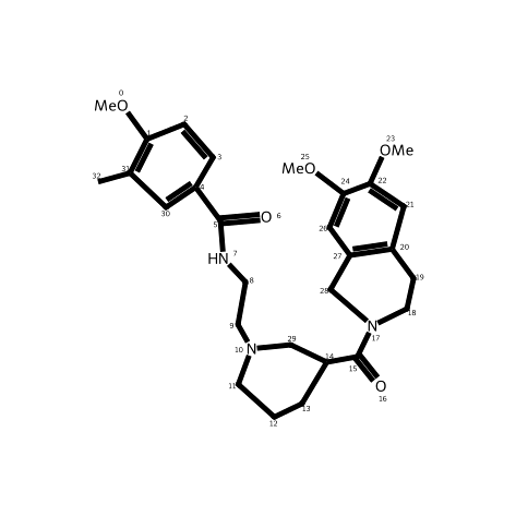 COc1ccc(C(=O)NCCN2CCCC(C(=O)N3CCc4cc(OC)c(OC)cc4C3)C2)cc1C